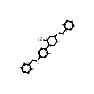 OC1CC(OCc2ccccc2)CCC1c1ccc(OCc2ccccc2)cc1